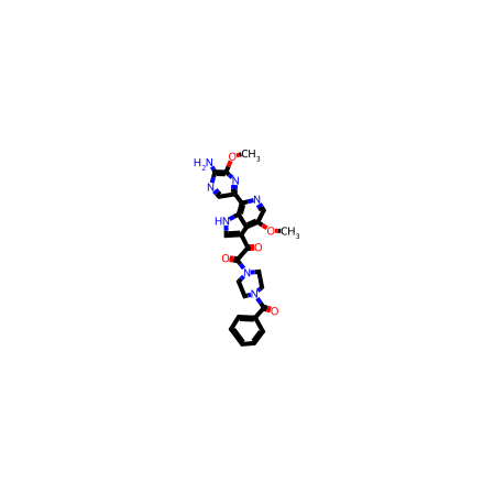 COc1nc(-c2ncc(OC)c3c(C(=O)C(=O)N4CCN(C(=O)c5ccccc5)CC4)c[nH]c23)cnc1N